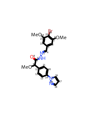 COc1cc(C=NNC(=O)C(OC)c2ccc(-n3cccn3)cc2)cc(OC)c1Br